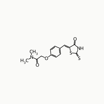 CN(C)C(=O)COc1ccc(/C=C2\SC(=S)NC2=O)cc1